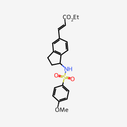 CCOC(=O)/C=C/c1ccc2c(c1)CCC2NS(=O)(=O)c1ccc(OC)cc1